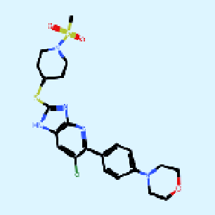 CS(=O)(=O)N1CCC(Sc2nc3nc(-c4ccc(N5CCOCC5)cc4)c(Cl)cc3[nH]2)CC1